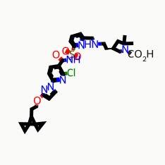 CC1(C)C[C@H](CCNCc2cccc(S(=O)(=O)NC(=O)c3ccc(-n4ccc(OCCC5C6(CC6)C56CC6)n4)nc3Cl)n2)CN1C(=O)O